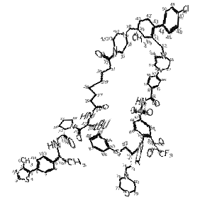 Cc1ncsc1-c1ccc([C@H](C)NC(=O)[C@@H]2CCCN2C(=O)[C@@H](NC(=O)CCCCCCC(=O)N2CCN(C[C@@]3(C)CCC(c4ccc(Cl)cc4)=C(CN4CCN(c5ccc(C(=O)NS(=O)(=O)c6ccc(N[C@H](CCN7CCOCC7)CSc7ccccc7)c(S(=O)(=O)C(F)(F)F)c6)cc5)CC4)C3)CC2)C(C)(C)C)cc1